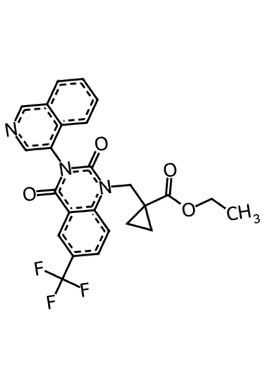 CCOC(=O)C1(Cn2c(=O)n(-c3cncc4ccccc34)c(=O)c3cc(C(F)(F)F)ccc32)CC1